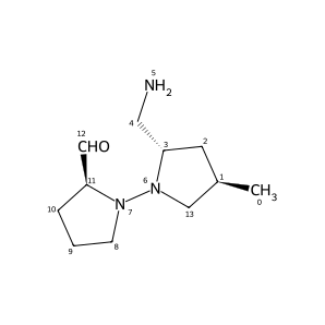 C[C@@H]1C[C@@H](CN)N(N2CCC[C@H]2C=O)C1